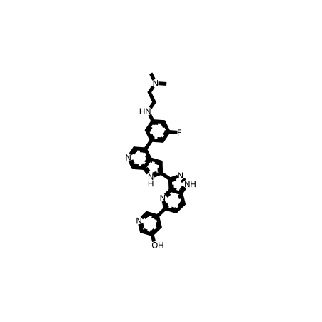 CN(C)CCNc1cc(F)cc(-c2cncc3[nH]c(-c4n[nH]c5ccc(-c6cncc(O)c6)nc45)cc23)c1